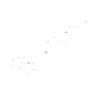 C/C=C(\C)Nc1ccnc(Nc2ccc(S(=O)(=O)N(C)C3CC4CCC(C3)N4Cc3cscn3)cc2)n1